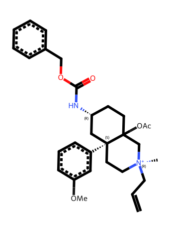 C=CC[N@@+]1(C)CC[C@@]2(c3cccc(OC)c3)C[C@H](NC(=O)OCc3ccccc3)CCC2(OC(C)=O)C1